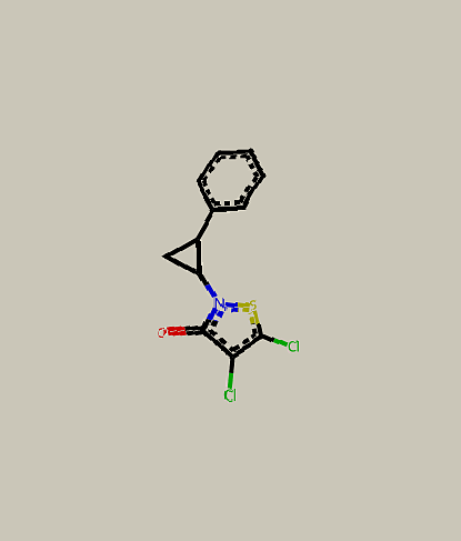 O=c1c(Cl)c(Cl)sn1C1CC1c1ccccc1